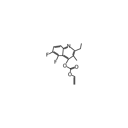 C=COC(=O)Oc1c(C)c(CC)nc2ccc(F)c(F)c12